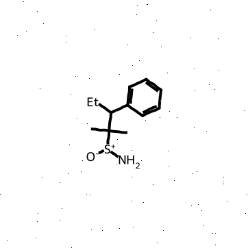 CCC(c1ccccc1)C(C)(C)[S+](N)[O-]